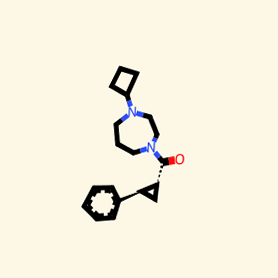 O=C([C@@H]1C[C@H]1c1ccccc1)N1CCCN(C2CCC2)CC1